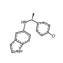 C[C@H](Nc1ccc2[nH]ccc2c1)c1ccc(Cl)cc1